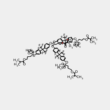 C=C(C)C(=O)OCCC[Si](OC)(OC)Oc1ccc(C(c2ccc(O[Si](CCCOC(=O)C(=C)C)(Oc3ccc(C(c4ccc(O[Si](CCCOC(=O)C(=C)C)(OC)OC)cc4)(C(F)(F)F)C(F)(F)F)cc3)Oc3ccc(C(c4ccc(O[Si](CCCOC(=O)C(=C)C)(OC)OC)cc4)(C(F)(F)F)C(F)(F)F)cc3)cc2)(C(F)(F)F)C(F)(F)F)cc1